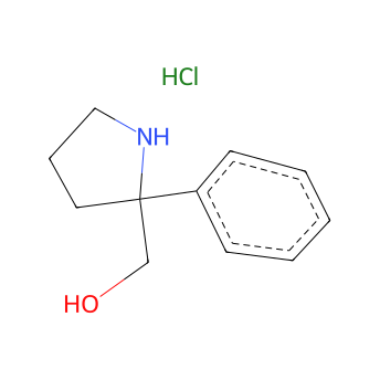 Cl.OCC1(c2ccccc2)CCCN1